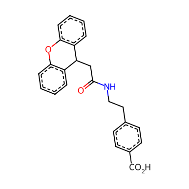 O=C(CC1c2ccccc2Oc2ccccc21)NCCc1ccc(C(=O)O)cc1